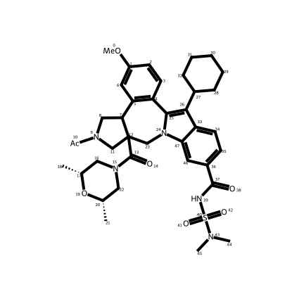 COc1ccc2c(c1)C1CN(C(C)=O)CC1(C(=O)N1C[C@@H](C)O[C@@H](C)C1)Cn1c-2c(C2CCCCC2)c2ccc(C(=O)NS(=O)(=O)N(C)C)cc21